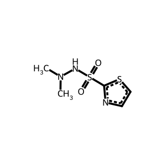 CN(C)NS(=O)(=O)c1nccs1